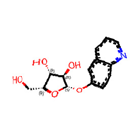 OC[C@H]1O[C@@H](Oc2ccc3ncccc3c2)[C@H](O)[C@H]1O